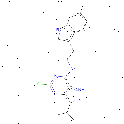 Cc1ccc2c(CCNc3nc(Cl)nc4c(C(C)C)n[nH]c34)c[nH]c2c1